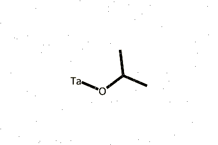 CC(C)[O][Ta]